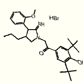 Br.CCCC1CN(CC(=O)c2cc(C(C)(C)C)c(O)c(C(C)(C)C)c2)C(=N)C1c1ccccc1OC